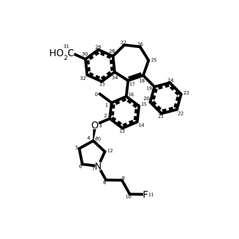 Cc1c(O[C@@H]2CCN(CCCF)C2)cccc1C1=C(c2ccccc2)CCCc2cc(C(=O)O)ccc21